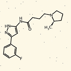 C[C@@H]1CCCN1CCCC(=O)Nc1cc(-c2cccc(F)c2)n[nH]1